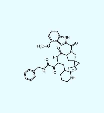 COc1cccc2[nH]c(C(=O)N3C[C@]4(C[C@H]3C(=O)NC(CC3CCCNC3=O)C(=O)C(=O)NCc3ccccc3)CC4(F)F)cc12